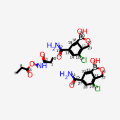 CCC(=O)NOC(=O)CC.NC(=O)c1cc(Cl)c2c(c1)B(O)OC2.NC(=O)c1cc(Cl)c2c(c1)B(O)OC2